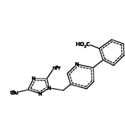 CCCc1nc(C(C)(C)C)nn1Cc1ccc(-c2ccccc2C(=O)O)nc1